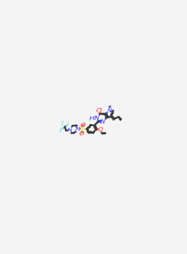 CCCc1cn(C)c2c(=O)[nH]c(-c3cc(S(=O)(=O)N4CCN(CC(F)(F)F)CC4)ccc3OCC)nc12